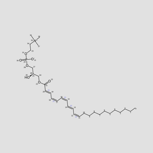 CCCCCCCCCCC\C=C/C=C/C=C\C=C/C=C/C(=O)OC[C@@H](O)COP(=O)([O-])OCC[N+](C)(C)C